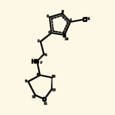 Clc1ccc(CCNC2CCOCC2)s1